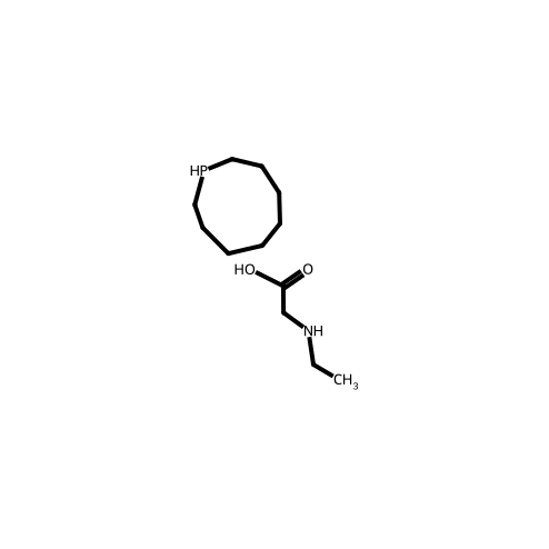 C1CCCCPCCC1.CCNCC(=O)O